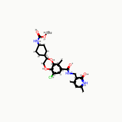 Cc1cc(C)c(CNC(=O)c2cc(Cl)c3c(c2C)OC(C2CCC(NC(=O)OC(C)(C)C)CC2)CO3)c(=O)[nH]1